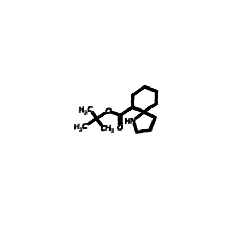 CC(C)(C)OC(=O)C1CCCCC12CCCN2